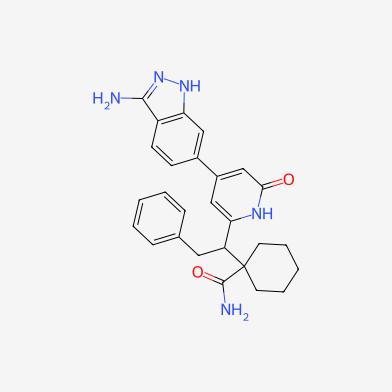 NC(=O)C1(C(Cc2ccccc2)c2cc(-c3ccc4c(N)n[nH]c4c3)cc(=O)[nH]2)CCCCC1